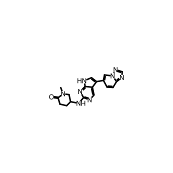 CN1CC(Nc2ncc3c(-c4ccc5ncnn5c4)c[nH]c3n2)CCC1=O